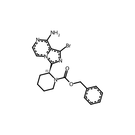 Nc1nccn2c([C@@H]3CCCCN3C(=O)OCc3ccccc3)nc(Br)c12